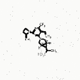 C=Cc1c(N2C[C@@H]3C(C(C)C(=O)O)[C@@H]3C2)nc(N2CCC2C)nc1C(F)(F)F